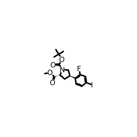 COC(=O)[C@H]1C[C@H](c2ccc(I)cc2F)CN1C(=O)OC(C)(C)C